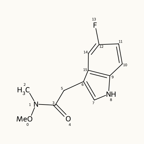 CON(C)C(=O)Cc1c[nH]c2ccc(F)cc12